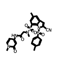 Cc1ccc(S(=O)(=O)n2c(C#N)cc3cc(C)cc(S(=O)(=O)N(C)CC(=O)Nc4ccn(C)c(=O)c4)c32)cc1